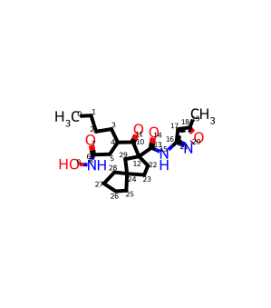 CCCCC(CC(=O)NO)C(=O)C1(C(=O)Nc2cc(C)on2)CCC2(CCCC2)C1